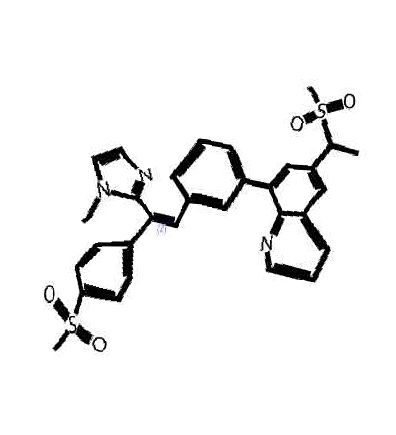 CC(c1cc(-c2cccc(/C=C(/c3ccc(S(C)(=O)=O)cc3)c3nccn3C)c2)c2ncccc2c1)S(C)(=O)=O